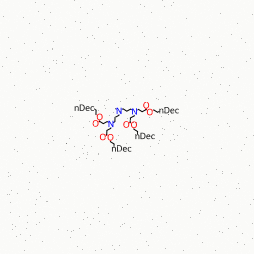 CCCCCCCCCCCCOC(=O)CCN(CCCN(C)CCCN(CCC(=O)OCCCCCCCCCCCC)CCC(=O)OCCCCCCCCCCCC)CCC(=O)OCCCCCCCCCCCC